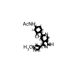 CC(=O)Nc1ccc(-c2cc3c(-c4cnn(C)c4)n[nH]c3cn2)c(C)c1